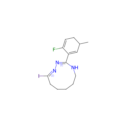 CC1C=C(/C2=N/N=C(\I)CCCCCN2)C(F)=CC1